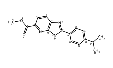 COC(=O)c1ccc2nc(-c3ccc(C(C)C)cc3)[nH]c2n1